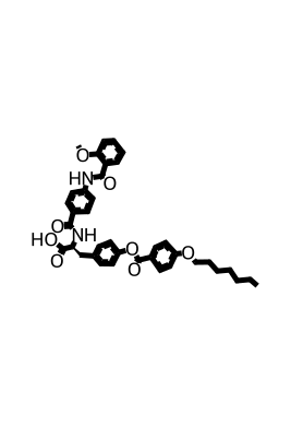 CCCCCCCOc1ccc(C(=O)Oc2ccc(C[C@H](NC(=O)c3ccc(NC(=O)c4ccccc4OC)cc3)C(=O)O)cc2)cc1